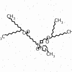 CCCCCCCCCC(CCCCCCCCC)COC(=O)CCCCCCCN(C(=O)N1CCCN(CC)CC1)C1CC(CC(=O)OCC(CCCCCCCC)CCCCCCCC)C1